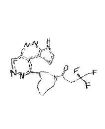 O=C(CC(F)(F)F)N1CCCC(c2nncc3nnc4[nH]ccc4c23)C1